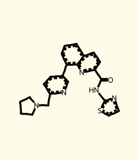 O=C(Nc1nccs1)c1ccc2cccc(-c3ccc(CN4CCCC4)nc3)c2n1